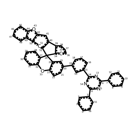 c1ccc(-c2nc(-c3ccccc3)nc(-c3cccc(-c4ccc5c(c4)C4(c6ccccc6O5)c5ccccc5-c5cc6oc7ccccc7c6cc54)c3)n2)cc1